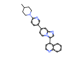 CC1CCN(c2ccc(-c3ccn4c(-c5ccnc6ccccc56)cnc4c3)cn2)CC1